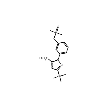 CCOC(=O)c1cc([Si](C)(C)C)nn1-c1cccc(CP(C)(C)=O)c1